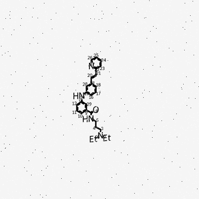 CCN(CC)CCCNC(=O)c1cccc(Nc2cccc(/C=C/c3ccccn3)c2)c1